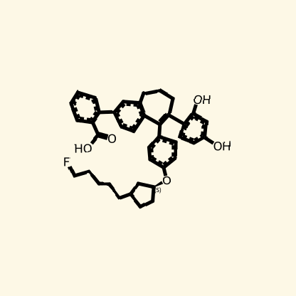 O=C(O)c1ccccc1-c1ccc2c(c1)CCCC(c1ccc(O)cc1O)=C2c1ccc(O[C@H]2CCC(CCCCCF)C2)cc1